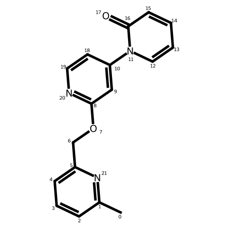 Cc1cccc(COc2cc(-n3ccccc3=O)ccn2)n1